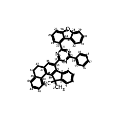 CC1(C)c2ccccc2-c2c(-c3nc(-c4ccccc4)nc(-c4cccc5oc6ccccc6c45)n3)cc3c(c21)-c1ccccc1CC3